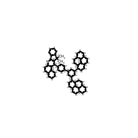 CC1(C)c2ccccc2-c2nc3ccc4ccccc4c3c(-c3ccc(-c4cc(-c5ccc6ccc7cccc8ccc5c6c78)cc(-c5ccc6ccc7cccc8ccc5c6c78)c4)cc3)c21